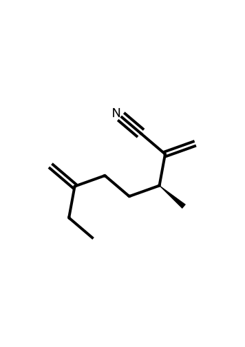 C=C(CC)CC[C@H](C)C(=C)C#N